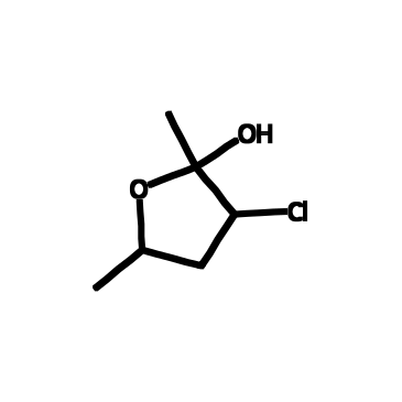 CC1CC(Cl)C(C)(O)O1